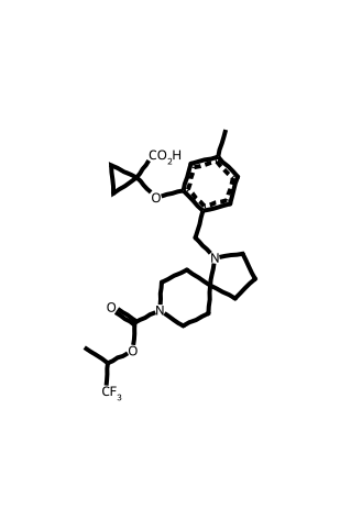 Cc1ccc(CN2CCCC23CCN(C(=O)OC(C)C(F)(F)F)CC3)c(OC2(C(=O)O)CC2)c1